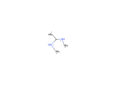 CCCCC(NC(C)(C)C)NC(C)(C)C